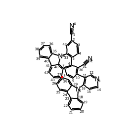 N#Cc1ccc(-c2cccc(-c3cnccc3-n3c4ccccc4c4ccccc43)c2C#N)c(-n2c3ccccc3c3ccccc32)c1